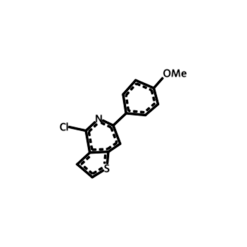 COc1ccc(-c2cc3sccc3c(Cl)n2)cc1